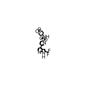 O=S1(=O)CCC(NS(=O)(=O)c2ccc(-c3ccnc4[nH]c(C(F)F)cc34)cn2)CC1